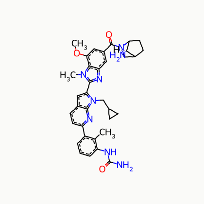 COc1cc(C(=O)N2CC3CCC2[C@@H]3N)cc2nc(-c3cc4ccc(-c5cccc(NC(N)=O)c5C)nc4n3CC3CC3)n(C)c12